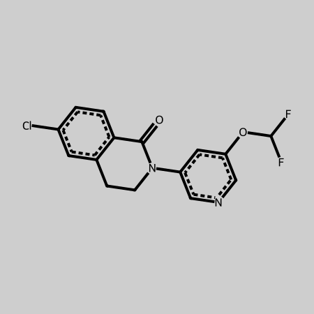 O=C1c2ccc(Cl)cc2CCN1c1cncc(OC(F)F)c1